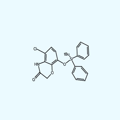 CC(C)(C)[Si](Oc1ccc(Cl)c2c1OCC(=O)N2)(c1ccccc1)c1ccccc1